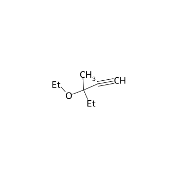 C#CC(C)(CC)OCC